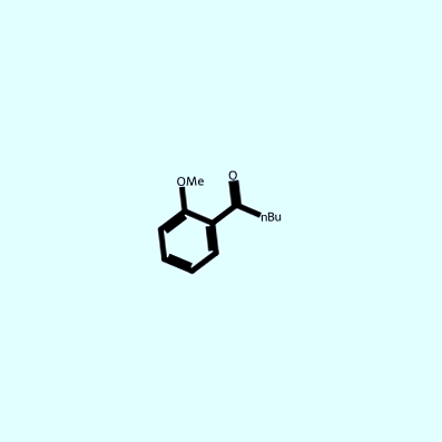 CCCCC(=O)c1ccccc1OC